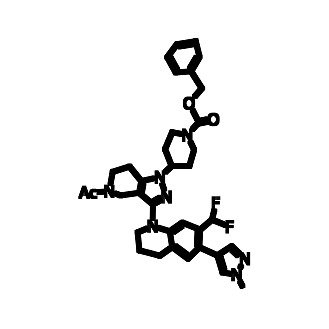 CC(=O)N1CCc2c(c(N3CCCc4cc(-c5cnn(C)c5)c(C(F)F)cc43)nn2C2CCN(C(=O)OCc3ccccc3)CC2)C1